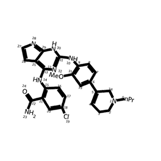 CCCN1CCC=C(c2ccc(Nc3nc(Nc4ccc(Cl)cc4C(N)=O)c4ccnc-4[nH]3)c(OC)c2)C1